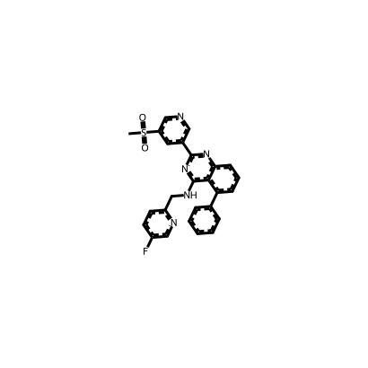 CS(=O)(=O)c1cncc(-c2nc(NCc3ccc(F)cn3)c3c(-c4ccccc4)cccc3n2)c1